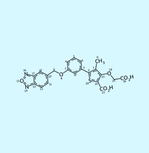 Cc1c(-c2cccc(OCc3ccc4nonc4c3)c2)sc(C(=O)O)c1OCC(=O)O